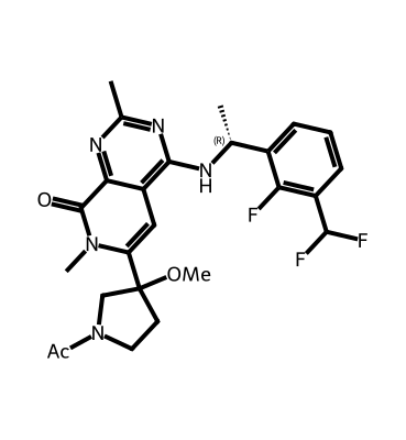 COC1(c2cc3c(N[C@H](C)c4cccc(C(F)F)c4F)nc(C)nc3c(=O)n2C)CCN(C(C)=O)C1